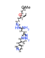 C#CC/C(=C\C/C=N\CN/C(N)=C/C=C(/N)CNC/C(C=C)=C/c1cccnc1)OCCCOC